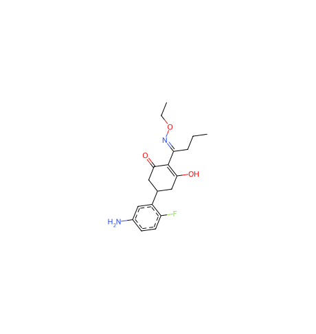 CCCC(=NOCC)C1=C(O)CC(c2cc(N)ccc2F)CC1=O